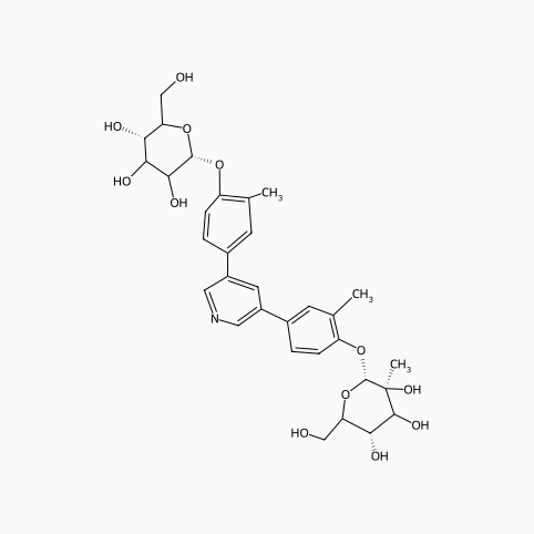 Cc1cc(-c2cncc(-c3ccc(O[C@H]4OC(CO)[C@@H](O)C(O)[C@]4(C)O)c(C)c3)c2)ccc1O[C@H]1OC(CO)[C@@H](O)C(O)C1O